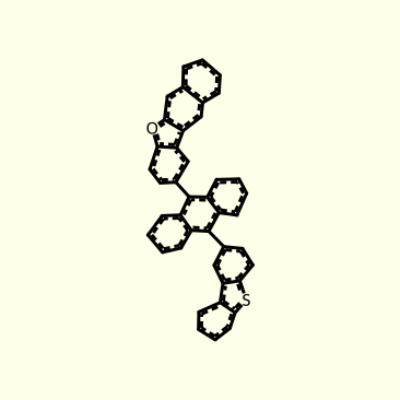 c1ccc2cc3c(cc2c1)oc1ccc(-c2c4ccccc4c(-c4ccc5sc6ccccc6c5c4)c4ccccc24)cc13